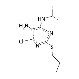 CCCSc1nc(Cl)c(N)c(NC(C)C)n1